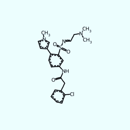 CN(C)CC=NS(=O)(=O)c1cc(NC(=O)Cc2ccccc2Cl)ccc1-c1ccn(C)c1